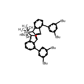 CCC[CH2][Hf]([CH3])([CH3])([CH3])(=[SiH2])([CH]1C=Cc2c(-c3cc(C(C)(C)C)cc(C(C)(C)C)c3)cccc21)[CH]1C=Cc2c(-c3cc(C(C)(C)C)cc(C(C)(C)C)c3)cccc21